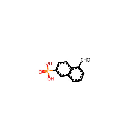 O=Cc1cccc2cc(P(=O)(O)O)ccc12